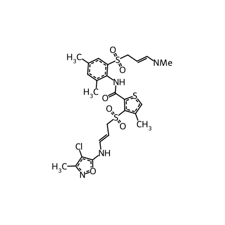 CNC=CCS(=O)(=O)c1cc(C)cc(C)c1NC(=O)c1scc(C)c1S(=O)(=O)CC=CNc1onc(C)c1Cl